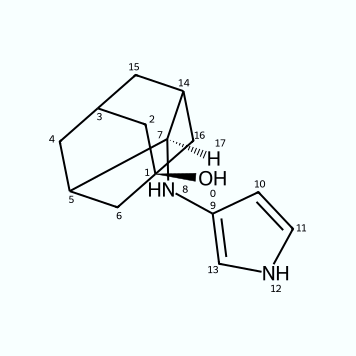 O[C@]12CC3CC(C1)[C@H](Nc1cc[nH]c1)C(C3)C2